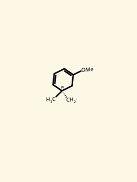 [CH2][C@]1(C)C=CC=C(OC)C1